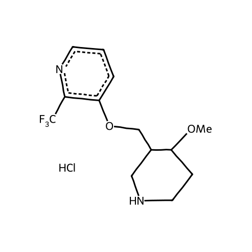 COC1CCNCC1COc1cccnc1C(F)(F)F.Cl